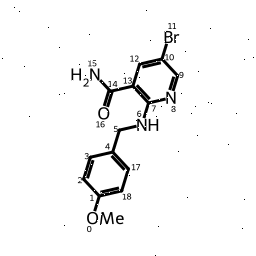 COc1ccc(CNc2ncc(Br)cc2C(N)=O)cc1